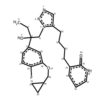 CCC(O)(Cn1nncc1CCCCc1ccc[nH]c1=O)c1ccc(F)c(OCC2CC2)c1